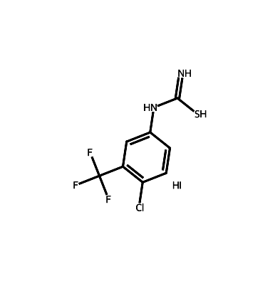 I.N=C(S)Nc1ccc(Cl)c(C(F)(F)F)c1